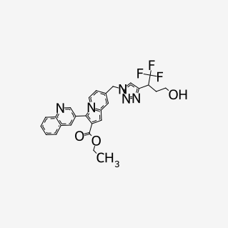 CCOC(=O)c1cc2cc(Cn3cc(C(CCO)C(F)(F)F)nn3)ccn2c1-c1cnc2ccccc2c1